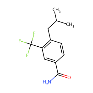 CC(C)Cc1ccc(C(N)=O)cc1C(F)(F)F